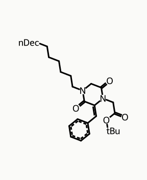 CCCCCCCCCCCCCCCCN1CC(=O)N(CC(=O)OC(C)(C)C)C(=Cc2ccccc2)C1=O